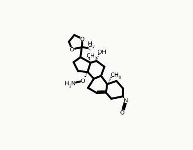 CC1(C2CC[C@]3(ON)C4CC=C5C[C@@H](N=O)CC[C@]5(C)C4C[C@@H](O)[C@]23C)OCCO1